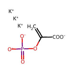 C=C(OP(=O)([O-])[O-])C(=O)[O-].[K+].[K+].[K+]